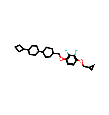 Fc1c(OCC2CC2)ccc(OCC2CCC(C3CCC(C4CCC4)CC3)CC2)c1F